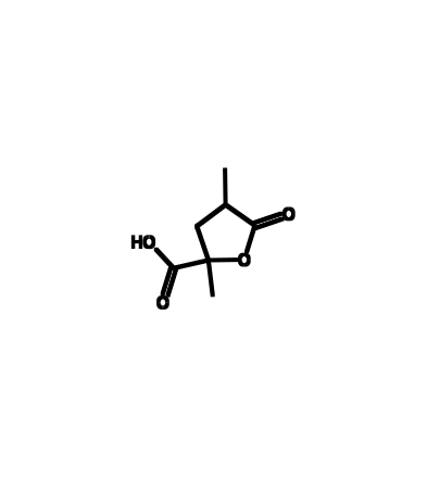 CC1CC(C)(C(=O)O)OC1=O